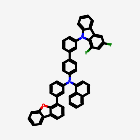 Fc1cc(F)c2c(c1)c1ccccc1n2-c1cccc(-c2ccc(N(c3cccc(-c4cccc5c4oc4ccccc45)c3)c3cccc4ccccc34)cc2)c1